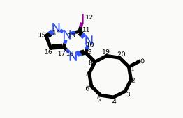 CC1CCCCCCC(c2nc(I)n3nccc3n2)CC1